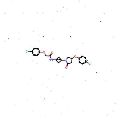 O=C(COc1ccc(Cl)cc1)NC12CC(N3CC(Oc4ccc(Cl)cc4)CC3=O)(C1)C2